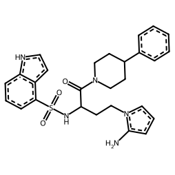 Nc1cccn1CCC(NS(=O)(=O)c1cccc2[nH]ccc12)C(=O)N1CCC(c2ccccc2)CC1